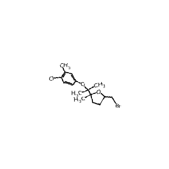 Cc1cc(OC(C)(C)C2(C)CCC(CBr)O2)ccc1Cl